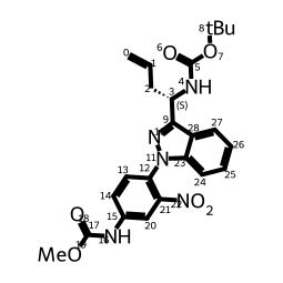 C=CC[C@H](NC(=O)OC(C)(C)C)c1nn(-c2ccc(NC(=O)OC)cc2[N+](=O)[O-])c2ccccc12